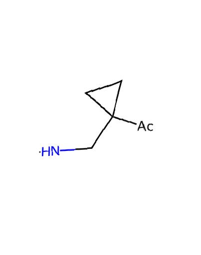 CC(=O)C1(C[NH])CC1